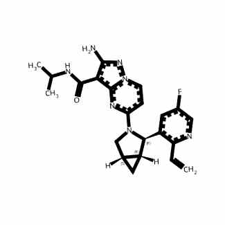 C=Cc1ncc(F)cc1[C@H]1[C@@H]2C[C@@H]2CN1c1ccn2nc(N)c(C(=O)NC(C)C)c2n1